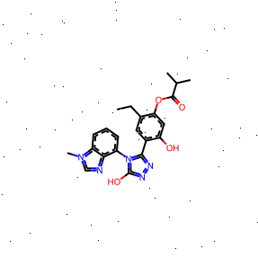 CCc1cc(-c2nnc(O)n2-c2cccc3c2ncn3C)c(O)cc1OC(=O)C(C)C